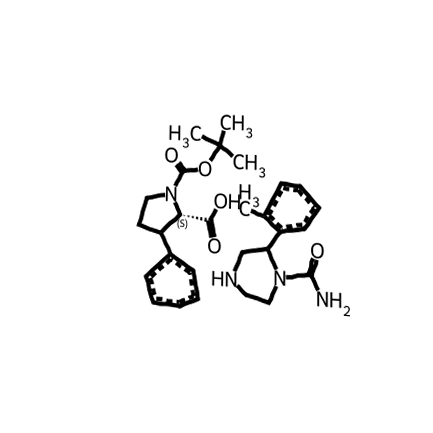 CC(C)(C)OC(=O)N1CCC(c2ccccc2)[C@H]1C(=O)O.Cc1ccccc1C1CNCCN1C(N)=O